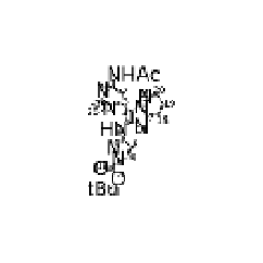 CC(=O)Nc1cc(-c2c(Nc3ccn(C(=O)OC(C)(C)C)n3)nc3cccnn23)nc(C)n1